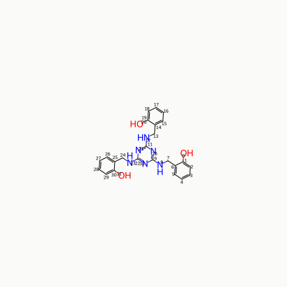 Oc1ccccc1CNc1nc(NCc2ccccc2O)nc(NCc2ccccc2O)n1